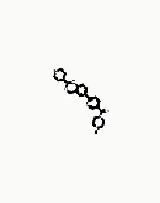 CN1CCN(C(=O)c2ccc(-c3ccc4c(c3)COC(C3CCNCC3)O4)nc2)CC1